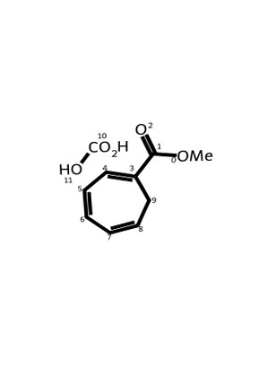 COC(=O)C1=CC=CC=CC1.O=C(O)O